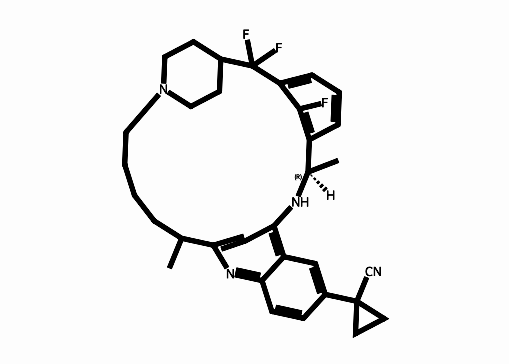 CC1CCCCN2CCC(CC2)C(F)(F)c2cccc(c2F)[C@@H](C)Nc2cc1nc1ccc(C3(C#N)CC3)cc21